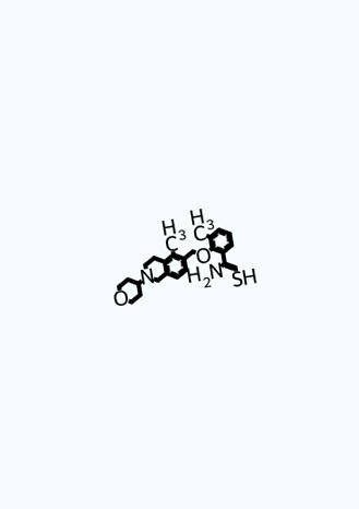 Cc1cccc(/C(N)=C/S)c1OCc1ccc2c(c1C)CCN(C1CCOCC1)C2